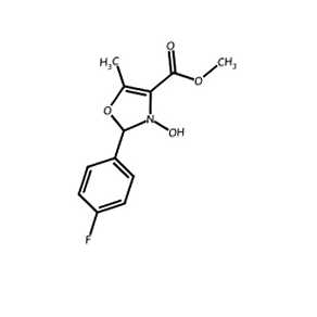 COC(=O)C1=C(C)OC(c2ccc(F)cc2)N1O